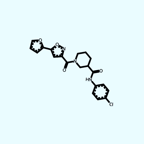 O=C(Nc1ccc(Cl)cc1)C1CCCN(C(=O)c2cc(-c3ccco3)on2)C1